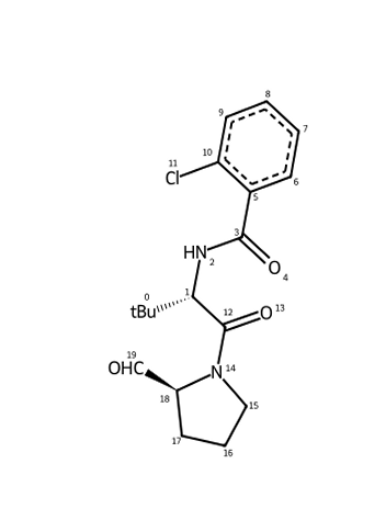 CC(C)(C)[C@H](NC(=O)c1ccccc1Cl)C(=O)N1CCC[C@H]1C=O